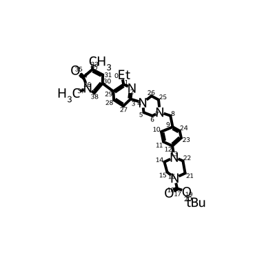 CCc1nc(N2CCN(Cc3ccc(N4CCN(C(=O)OC(C)(C)C)CC4)cc3)CC2)ccc1-c1cc(C)c(=O)n(C)c1